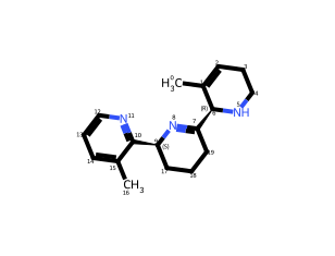 CC1=CCCN[C@H]1C1=N[C@H](c2ncccc2C)CCC1